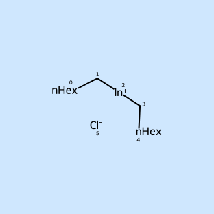 CCCCCC[CH2][In+][CH2]CCCCCC.[Cl-]